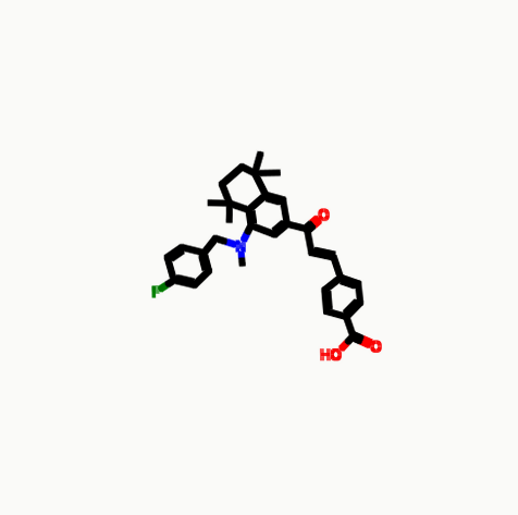 CN(Cc1ccc(F)cc1)c1cc(C(=O)/C=C/c2ccc(C(=O)O)cc2)cc2c1C(C)(C)CCC2(C)C